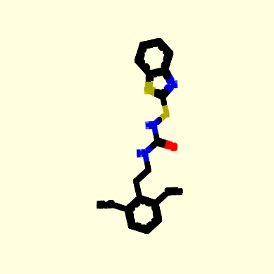 COc1cccc(OC)c1CCNC(=O)NSc1nc2ccccc2s1